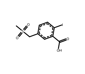 CS(=O)(=O)Cc1ccc(I)c(C(=O)O)c1